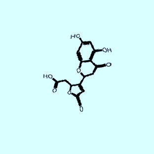 O=C(O)CC1OC(=O)C=C1C1CC(=O)c2c(O)cc(O)cc2O1